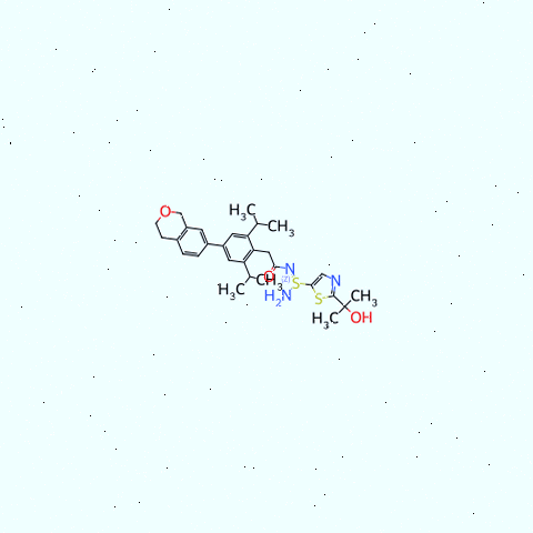 CC(C)c1cc(-c2ccc3c(c2)COCC3)cc(C(C)C)c1CC(=O)/N=S(\N)c1cnc(C(C)(C)O)s1